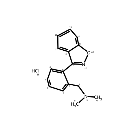 CN(C)Cc1ccccc1-c1noc2ccccc12.Cl